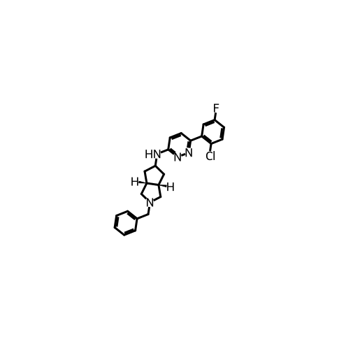 Fc1ccc(Cl)c(-c2ccc(NC3C[C@@H]4CN(Cc5ccccc5)C[C@@H]4C3)nn2)c1